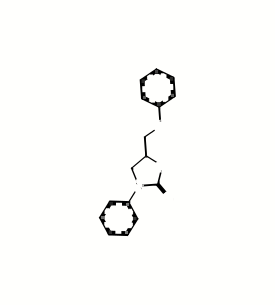 O=C1OC(COc2ccccc2)CN1c1ccccc1